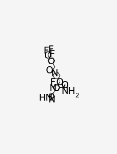 NC(=O)c1cc(-c2cn[nH]c2)ncc1O[C@H]1CCN(C(=O)Cc2ccc(OC(F)(F)F)cc2)C[C@H]1F